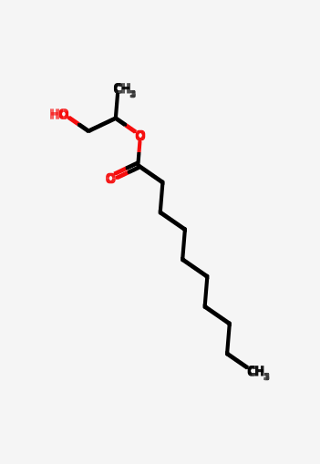 CCCCCCCCCC(=O)OC(C)CO